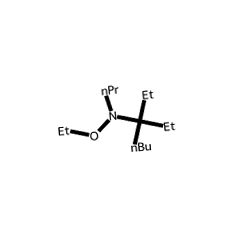 CCCCC(CC)(CC)N(CCC)OCC